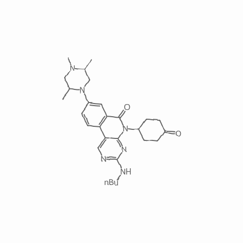 CCCCNc1ncc2c3ccc(N4CC(C)N(C)CC4C)cc3c(=O)n(C3CCC(=O)CC3)c2n1